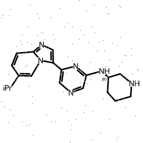 CC(C)c1ccc2ncc(-c3cncc(N[C@@H]4CCCNC4)n3)n2c1